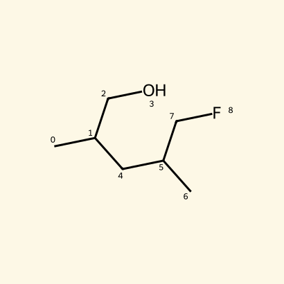 CC(CO)CC(C)CF